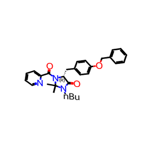 CCCCN1C(=O)[C@@H](Cc2ccc(OCc3ccccc3)cc2)N(C(=O)c2ccccn2)C1(C)C